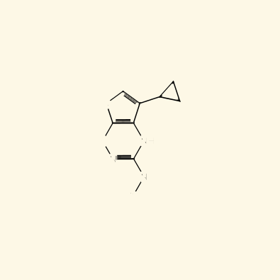 CC(C)NC1=NSc2scc(C3CC3)c2N1